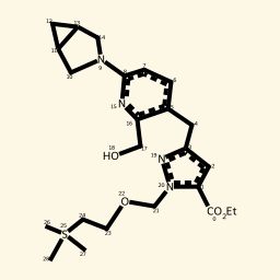 CCOC(=O)c1cc(Cc2ccc(N3CC4CC4C3)nc2CO)nn1COCCS(C)(C)C